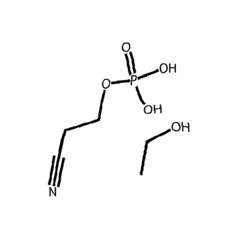 CCO.N#CCCOP(=O)(O)O